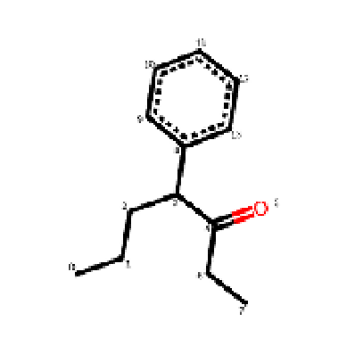 CCCC(C(=O)CC)c1ccccc1